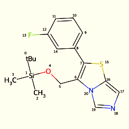 CC(C)(C)[Si](C)(C)OCc1c(-c2cccc(F)c2)sc2cncn12